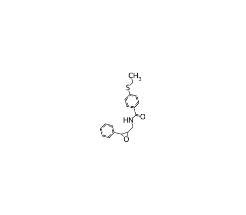 CCSc1ccc(C(=O)NCC2OC2c2ccccc2)cc1